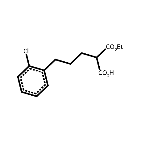 CCOC(=O)C(CCCc1ccccc1Cl)C(=O)O